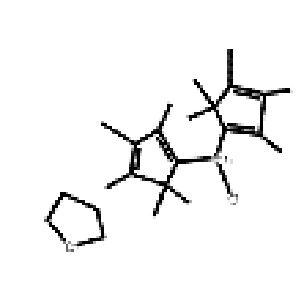 C1CCOC1.CC1=C(C)C(C)(C)[C]([Sm]([Cl])[C]2=C(C)C(C)=C(C)C2(C)C)=C1C